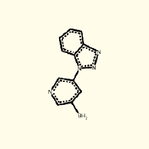 Bc1cncc(-n2nnc3ccccc32)c1